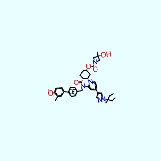 CCC(C)(CC)n1cc(-c2ccnc(N(CC34CCC(c5ccc(OC)c(C)c5)(CC3)CC4)C(=O)[C@H]3CC[C@H](OC(=O)N4CC(C)(O)C4)CC3)c2)cn1